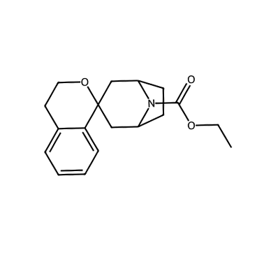 CCOC(=O)N1C2CCC1CC1(C2)OCCc2ccccc21